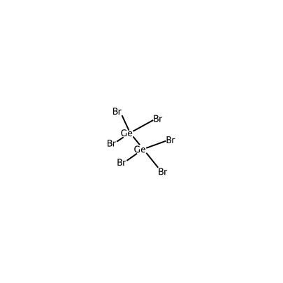 [Br][Ge]([Br])([Br])[Ge]([Br])([Br])[Br]